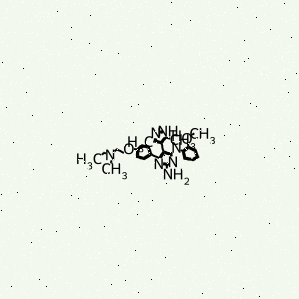 CCN(CC)CCOc1ccc(-c2nc(N)nc(Nc3ccccc3OC)c2-c2c(C)n[nH]c2C)cc1